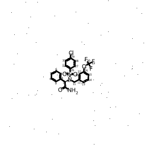 NC(=O)[C@@H](c1ccccc1)N(Cc1cccc(OC(F)(F)F)c1)S(=O)(=O)c1ccc(Cl)cc1